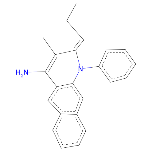 CC/C=C1\C(C)=C(N)c2cc3ccccc3cc2N1c1ccccc1